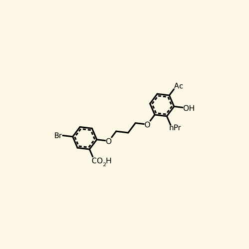 CCCc1c(OCCCOc2ccc(Br)cc2C(=O)O)ccc(C(C)=O)c1O